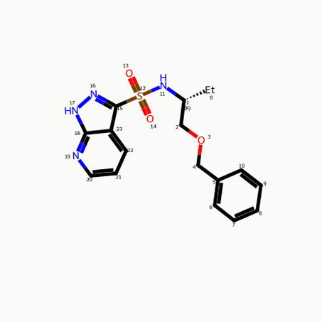 CC[C@H](COCc1ccccc1)NS(=O)(=O)c1n[nH]c2ncccc12